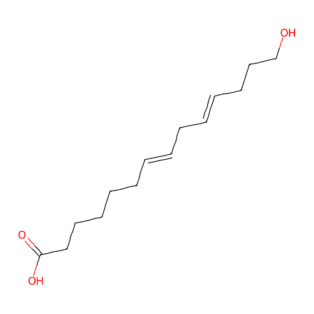 O=C(O)CCCCCC=CCC=CCCCO